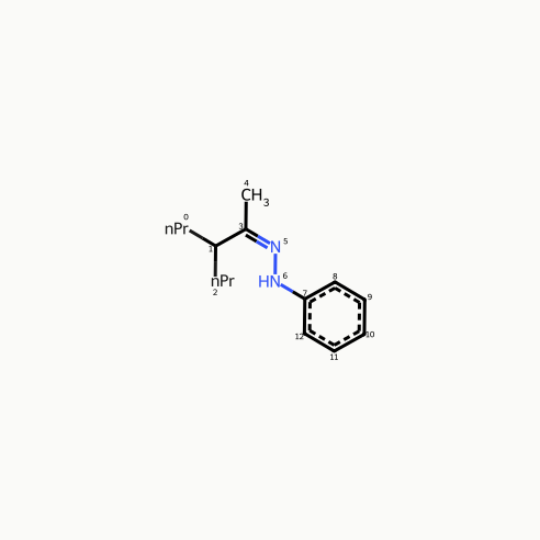 CCCC(CCC)C(C)=NNc1ccccc1